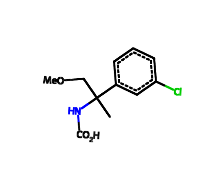 COCC(C)(NC(=O)O)c1cccc(Cl)c1